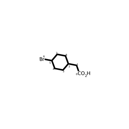 O=C(O)CC1CCC(Br)CC1